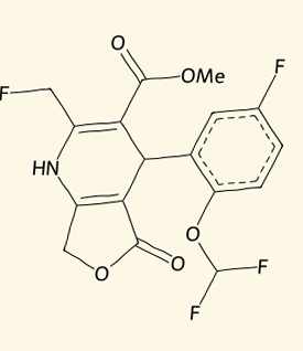 COC(=O)C1=C(CF)NC2=C(C(=O)OC2)C1c1cc(F)ccc1OC(F)F